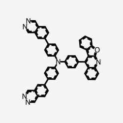 c1ccc2c(-c3ccc(N(c4ccc(-c5ccc6cnncc6c5)cc4)c4ccc(-c5ccc6cnncc6c5)cc4)cc3)c3c(nc2c1)oc1ccccc13